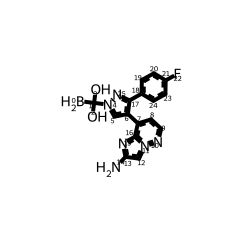 BC(O)(O)n1cc(-c2ccnn3cc(N)nc23)c(-c2ccc(F)cc2)n1